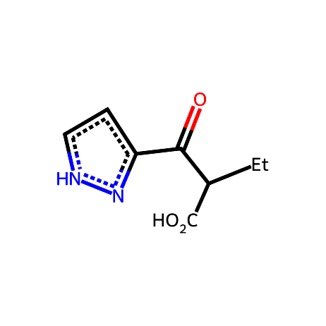 CCC(C(=O)O)C(=O)c1cc[nH]n1